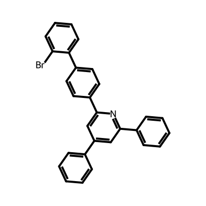 Brc1ccccc1-c1ccc(-c2cc(-c3ccccc3)cc(-c3ccccc3)n2)cc1